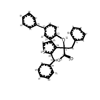 O=C(O)C(Cc1ccccc1)(Oc1ccc(-c2ccccc2)cc1)c1ccsc1Cc1ccccc1